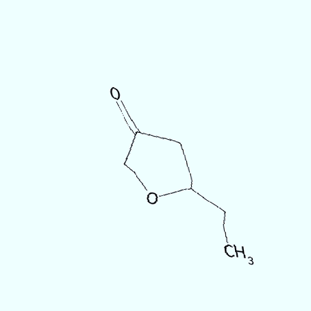 CCC1CC(=O)CO1